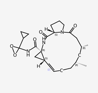 C[C@@H]1CC/C=C\[C@@H]2C[C@@]2(C(=O)NC2(C3CC3)OO2)NC(=O)[C@@H]2CCCN2C(=O)C[C@H](C)C1